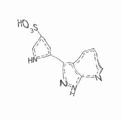 O=S(=O)(O)c1c[nH]c(-c2n[nH]c3ncccc23)c1